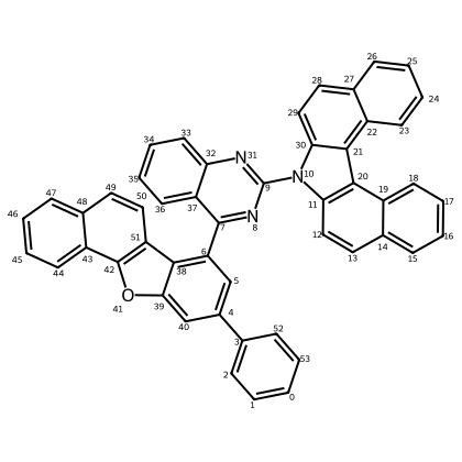 c1ccc(-c2cc(-c3nc(-n4c5ccc6ccccc6c5c5c6ccccc6ccc54)nc4ccccc34)c3c(c2)oc2c4ccccc4ccc23)cc1